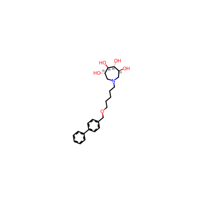 O[C@H]1[C@H](O)[C@@H](O)CN(CCCCCOCc2ccc(-c3ccccc3)cc2)C[C@@H]1O